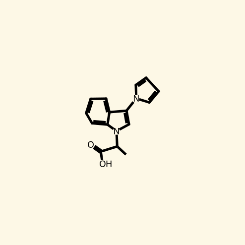 CC(C(=O)O)n1cc(-n2cccc2)c2ccccc21